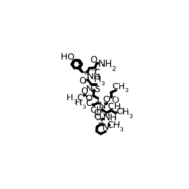 CCCC(=O)OCN(C(=O)[C@@H](NC(=O)[C@H]1CCCCN1C)C(C)CC)[C@H](CC(OC(C)=O)c1nc(C(=O)N[C@@H](Cc2ccc(O)cc2)C[C@H](C)C(N)=O)cs1)C(C)C